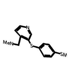 CNCc1ccncc1Sc1ccc(SC)cc1